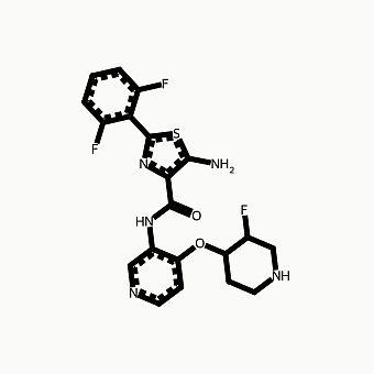 Nc1sc(-c2c(F)cccc2F)nc1C(=O)Nc1cnccc1OC1CCNCC1F